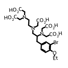 CCOc1ccc(CC(CN(CCN(CC(=O)O)CC(=O)O)CC(=O)O)N(CC(=O)O)CC(=O)O)cc1Br